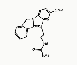 CNC(=O)NCCc1c2n(c3ccc(OC)nc13)Cc1ccccc1-2